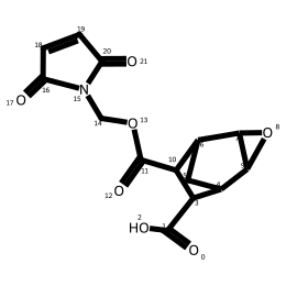 O=C(O)C1C2CC(C3OC23)C1C(=O)OCN1C(=O)C=CC1=O